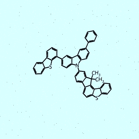 CC1(C)c2cc(-n3c4ccc(-c5ccccc5)cc4c4cc(-c5cccc6c5sc5ccccc56)ccc43)ccc2-c2ccc3sc4ccccc4c3c21